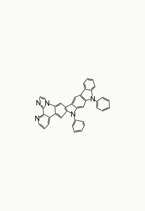 c1ccc(-n2c3ccccc3c3cc4c5cc6c(cc5n(-c5ccccc5)c4cc32)c2cccnc2c2nccn62)cc1